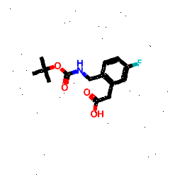 CC(C)(C)OC(=O)NCc1ccc(F)cc1CC(=O)O